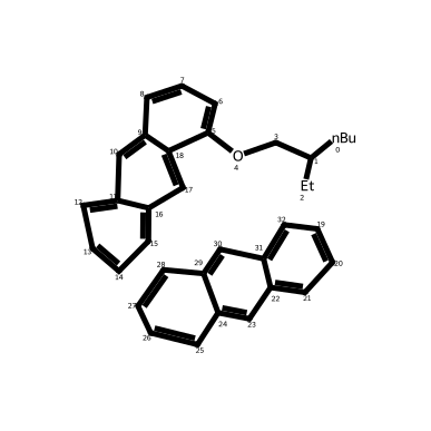 CCCCC(CC)COc1cccc2cc3ccccc3cc12.c1ccc2cc3ccccc3cc2c1